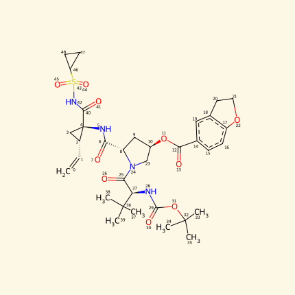 C=C[C@@H]1C[C@]1(NC(=O)[C@@H]1C[C@@H](OC(=O)c2ccc3c(c2)CCO3)CN1C(=O)[C@@H](NC(=O)OC(C)(C)C)C(C)(C)C)C(=O)NS(=O)(=O)C1CC1